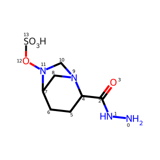 NNC(=O)C1CCC2CN1CN2OS(=O)(=O)O